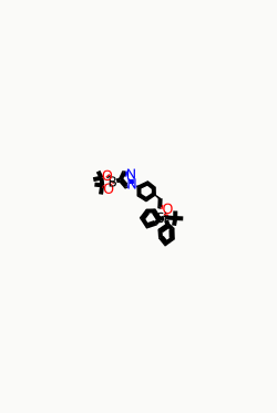 CC1(C)OB(c2cnn([C@H]3CC[C@H](CCO[Si](c4ccccc4)(c4ccccc4)C(C)(C)C)CC3)c2)OC1(C)C